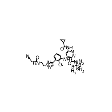 BC(B)(B)NC(=O)c1nnc(NC(=O)C2CC2)cc1Nc1cccc(-c2cnn(CCNC(=O)CC#N)n2)c1OC